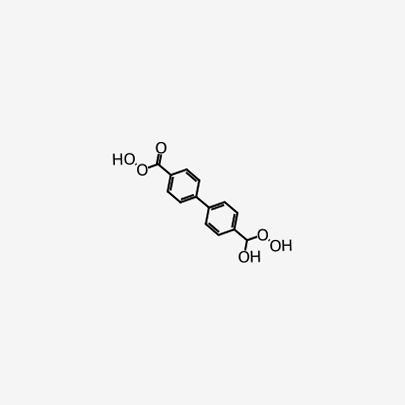 O=C(OO)c1ccc(-c2ccc(C(O)OO)cc2)cc1